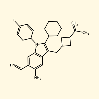 C=C(C)C1CC(Cc2c(C3CCCCC3)n(C3C=CC(F)=CC3)c3cc(C=N)c(N)cc23)C1